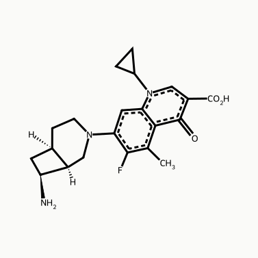 Cc1c(F)c(N2CC[C@@H]3C[C@H](N)[C@@H]3C2)cc2c1c(=O)c(C(=O)O)cn2C1CC1